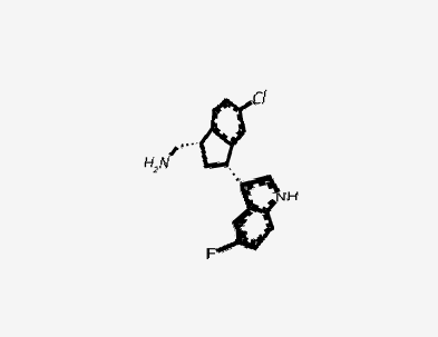 NC[C@H]1C[C@@H](c2c[nH]c3ccc(F)cc23)c2cc(Cl)ccc21